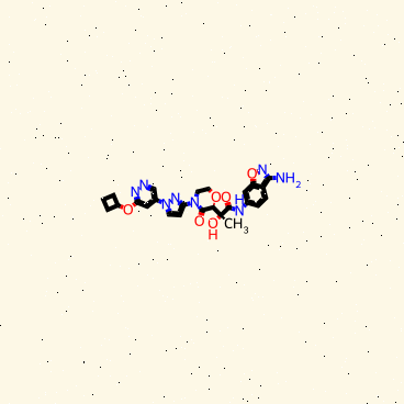 C[C@](O)(C(=O)Nc1ccc2c(N)noc2c1)[C@H]1OCCN(c2ccn(-c3cnnc(OC4CCC4)c3)n2)C1=O